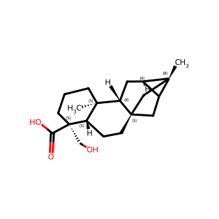 C[C@@]12CCC[C@](CO)(C(=O)O)[C@H]1CC[C@@]13CC4[C@@H](C[C@H]12)[C@@]4(C)C3